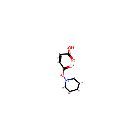 O=C(O)/C=C\C(=O)ON1CCCCC1